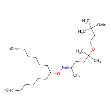 CCCCCCCCCCCCCCCC(CCCCCCCCCCCCCCC)O/N=C(\C)CCC(C)(C)OCCC(C)(C)OC